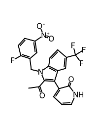 CC(=O)c1c(-c2ccc[nH]c2=O)c2cc(C(F)(F)F)ccc2n1Cc1cc([N+](=O)[O-])ccc1F